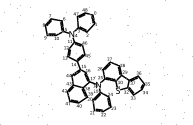 c1ccc(N(c2ccccc2)c2ccc(-c3cc(N(c4ccccc4)c4cccc5c4sc4ccccc45)c4ccccc4c3)cc2)cc1